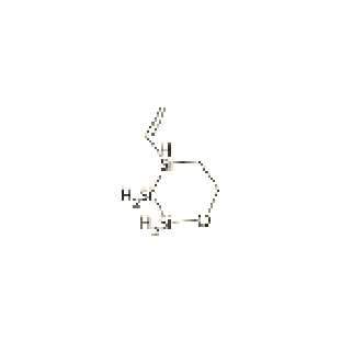 C=C[SiH]1CCO[SiH2][SiH2]1